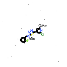 CCCCN(Cc1ccccc1F)c1nnc(-c2cc(Cl)nc(OC)c2)s1